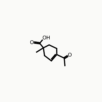 CC(=O)C1=CCC(C)(C(=O)O)CC1